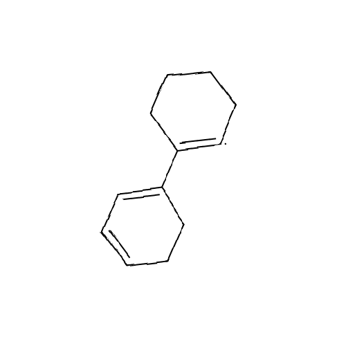 [C]1=C(C2=CC=CCC2)CCCC1